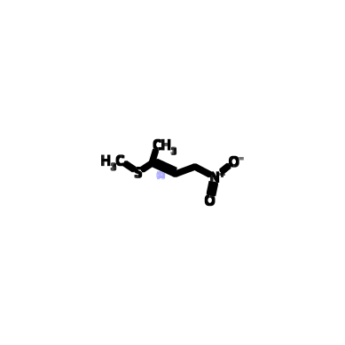 CS/C(C)=C/C[N+](=O)[O-]